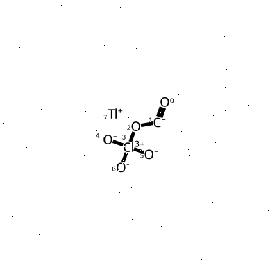 O=[C-]O[Cl+3]([O-])([O-])[O-].[Tl+]